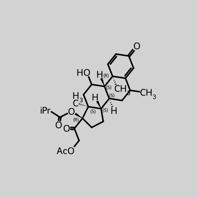 CC(=O)OCC(=O)[C@@]1(OC(=O)C(C)C)CC[C@H]2[C@@H]3CC(C)C4=CC(=O)C=C[C@]4(C)[C@H]3C(O)C[C@@]21C